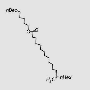 CCCCCCCCCCCCCCCOC(=O)CCCCCCCCCCCC=C(C)CCCCCC